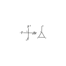 CC1CC1.FC(F)(F)Br